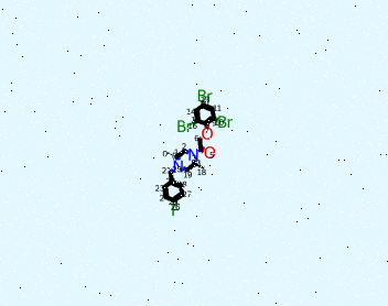 C[C@@H]1CN(C(=O)COc2c(Br)cc(Br)cc2Br)[C@@H](C)CN1Cc1ccc(F)cc1